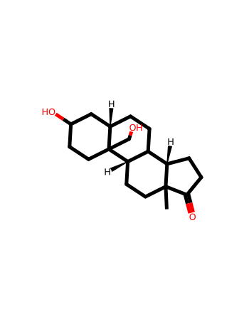 CC12CC[C@H]3C(CC[C@H]4CC(O)CCC43CO)[C@@H]1CCC2=O